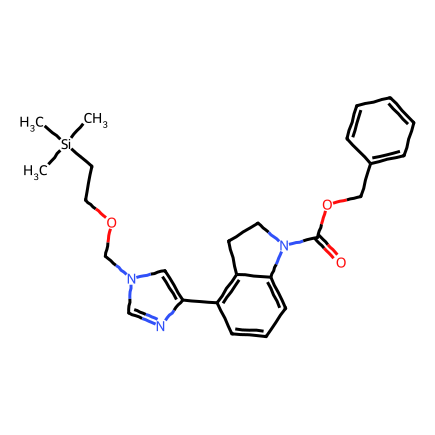 C[Si](C)(C)CCOCn1cnc(-c2cccc3c2CCN3C(=O)OCc2ccccc2)c1